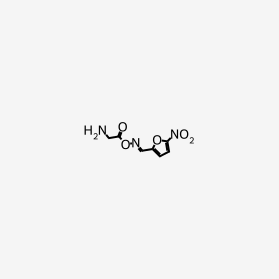 NCC(=O)ON=Cc1ccc([N+](=O)[O-])o1